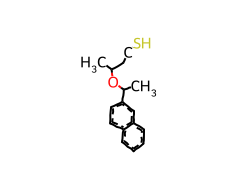 CC(CCS)OC(C)c1ccc2ccccc2c1